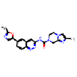 Cc1cn2c(n1)CN(C(=O)Nc1cc3cc(-c4cnc(C)o4)ccc3nn1)CC2